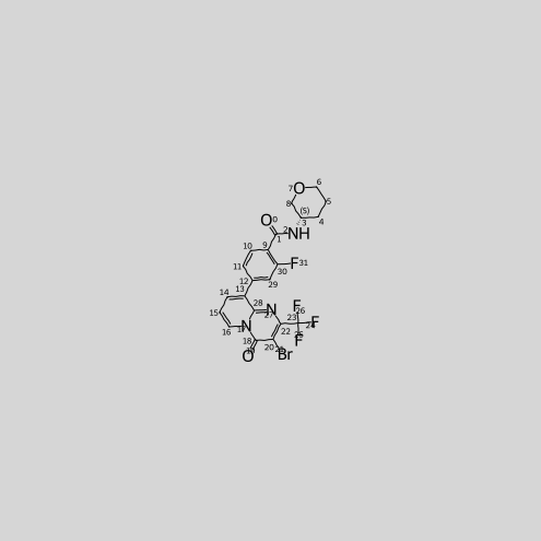 O=C(N[C@H]1CCCOC1)c1ccc(-c2cccn3c(=O)c(Br)c(C(F)(F)F)nc23)cc1F